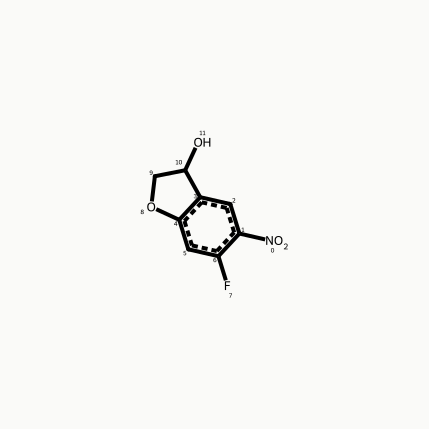 O=[N+]([O-])c1cc2c(cc1F)OCC2O